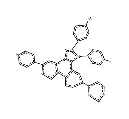 CCCCc1ccc(-c2nc3c4cc(-c5ccncc5)ccc4c4ccc(-c5ccncc5)cc4c3n2-c2ccc(I)cc2)cc1